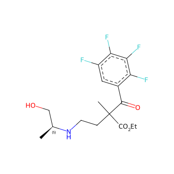 CCOC(=O)C(C)(CCN[C@@H](C)CO)C(=O)c1cc(F)c(F)c(F)c1F